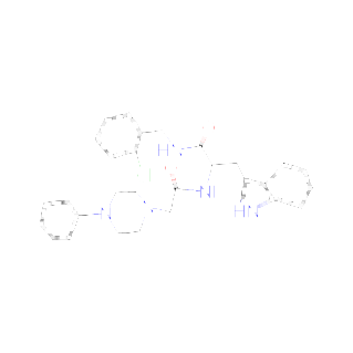 O=C(CN1CCN(c2ccccc2)CC1)NC(Cc1c[nH]c2ccccc12)C(=O)NCc1ccccc1Cl